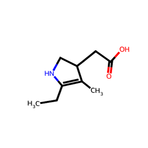 CCC1=C(C)C(CC(=O)O)CN1